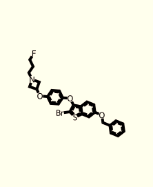 FCCCN1CC(Oc2ccc(Oc3c(Br)sc4cc(OCc5ccccc5)ccc34)cc2)C1